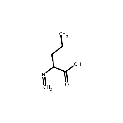 C=N[C@@H](CCC)C(=O)O